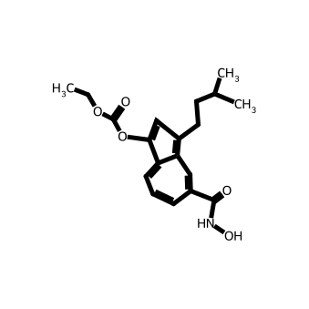 CCOC(=O)Oc1cc(CCC(C)C)c2cc(C(=O)NO)cccc1-2